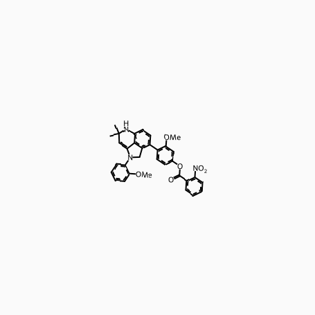 COc1cc(OC(=O)c2ccccc2[N+](=O)[O-])ccc1-c1ccc2c3c1CN(c1ccccc1OC)C3=CC(C)(C)N2